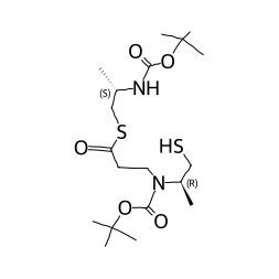 C[C@H](CS)N(CCC(=O)SC[C@H](C)NC(=O)OC(C)(C)C)C(=O)OC(C)(C)C